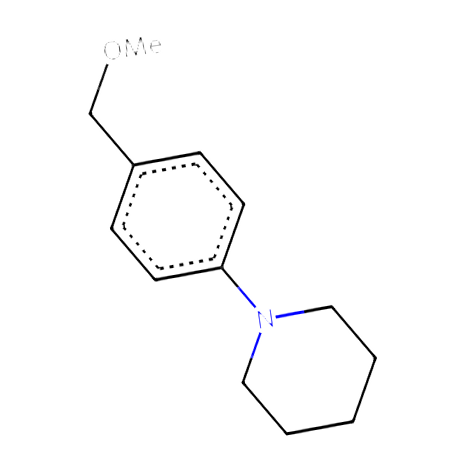 COCc1ccc(N2CCCCC2)cc1